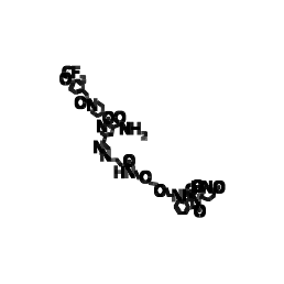 NC(=O)c1cc(-c2cn(CCCC(=O)NCCOCCOCCNc3cccc4c3C(=O)N(C3CCC(=O)NC3=O)C4=O)cn2)cnc1OC1CCN(C(=O)Cc2ccc(OC(F)(F)F)cc2)CC1